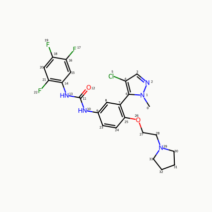 Cn1ncc(Cl)c1-c1cc(NC(=O)Nc2cc(F)c(F)cc2F)ccc1OCCN1CCCC1